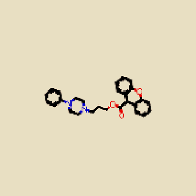 O=C(OCCCN1CCN(c2ccccc2)CC1)C1c2ccccc2Oc2ccccc21